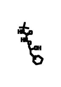 CC(C)(C)NC(=O)NOCC(O)CN1CCCCC1